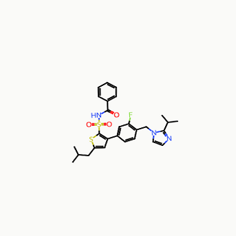 CC(C)Cc1cc(-c2ccc(Cn3ccnc3C(C)C)c(F)c2)c(S(=O)(=O)NC(=O)c2ccccc2)s1